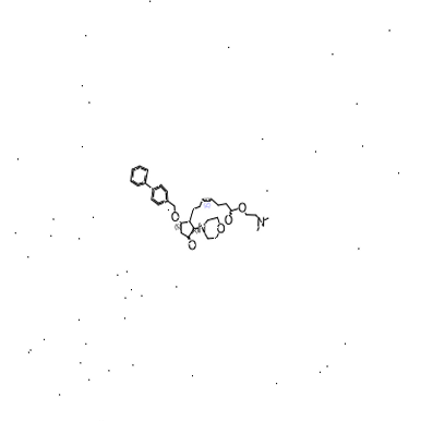 CN(C)CCOC(=O)CC/C=C\CCC1[C@@H](OCc2ccc(-c3ccccc3)cc2)CC(=O)[C@@H]1N1CCOCC1